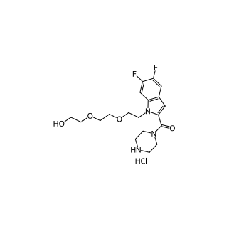 Cl.O=C(c1cc2cc(F)c(F)cc2n1CCOCCOCCO)N1CCNCC1